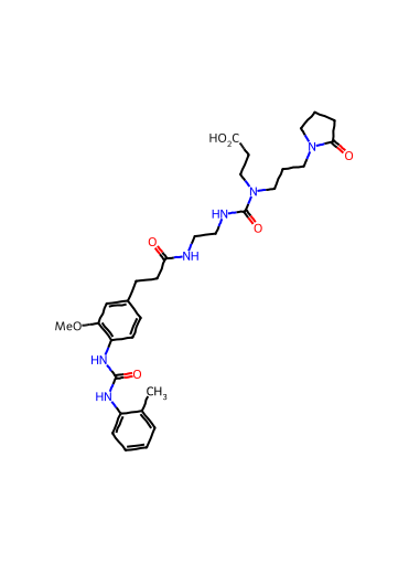 COc1cc(CCC(=O)NCCNC(=O)N(CCCN2CCCC2=O)CCC(=O)O)ccc1NC(=O)Nc1ccccc1C